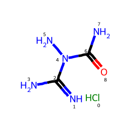 Cl.N=C(N)N(N)C(N)=O